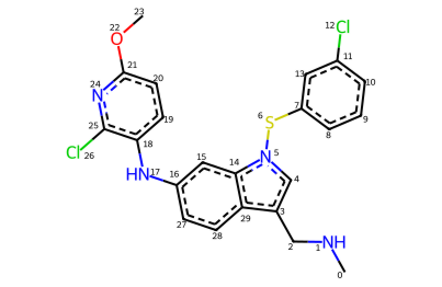 CNCc1cn(Sc2cccc(Cl)c2)c2cc(Nc3ccc(OC)nc3Cl)ccc12